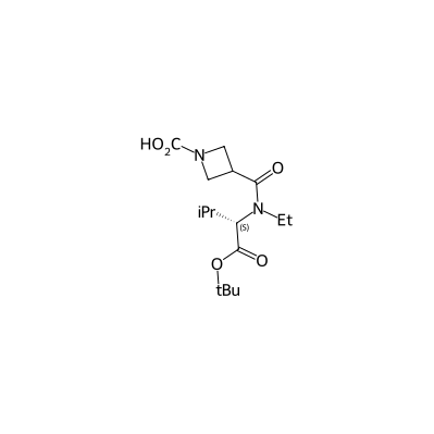 CCN(C(=O)C1CN(C(=O)O)C1)[C@H](C(=O)OC(C)(C)C)C(C)C